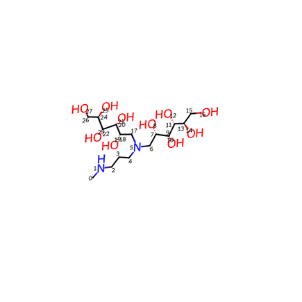 CNCCCN(C[C@H](O)[C@@H](O)[C@H](O)[C@H](O)CO)C[C@H](O)[C@@H](O)[C@H](O)[C@H](O)CO